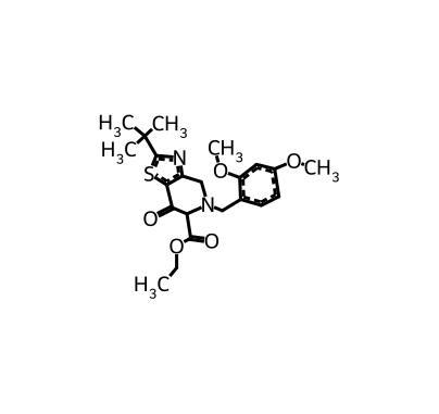 CCOC(=O)C1C(=O)c2sc(C(C)(C)C)nc2CN1Cc1ccc(OC)cc1OC